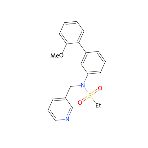 CCS(=O)(=O)N(Cc1cccnc1)c1cccc(-c2ccccc2OC)c1